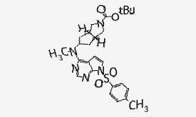 Cc1ccc(S(=O)(=O)n2ccc3c(N(C)C4C[C@@H]5CN(C(=O)OC(C)(C)C)C[C@@H]5C4)ncnc32)cc1